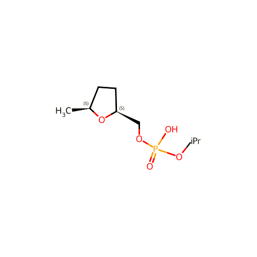 CC(C)OP(=O)(O)OC[C@@H]1CC[C@H](C)O1